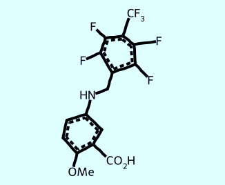 COc1ccc(NCc2c(F)c(F)c(C(F)(F)F)c(F)c2F)cc1C(=O)O